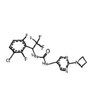 O=C(Nc1cnc(N2CCC2)nc1)NC(c1c(F)ccc(Cl)c1F)C(F)(F)F